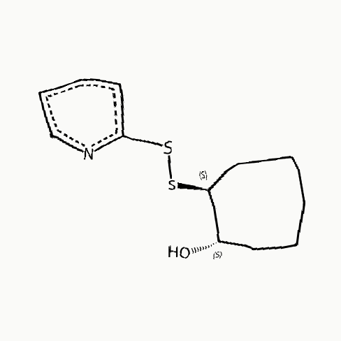 O[C@H]1CCCCC[C@@H]1SSc1ccccn1